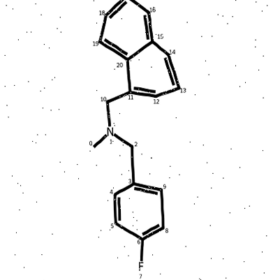 CN(Cc1ccc(F)cc1)Cc1cccc2ccccc12